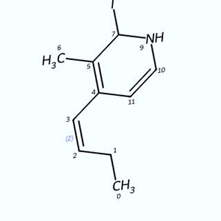 CC/C=C\C1=C(C)C(I)NC=C1